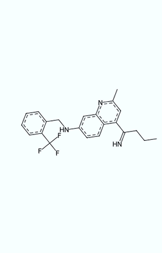 CCCC(=N)c1cc(C)nc2cc(NCc3ccccc3C(F)(F)F)ccc12